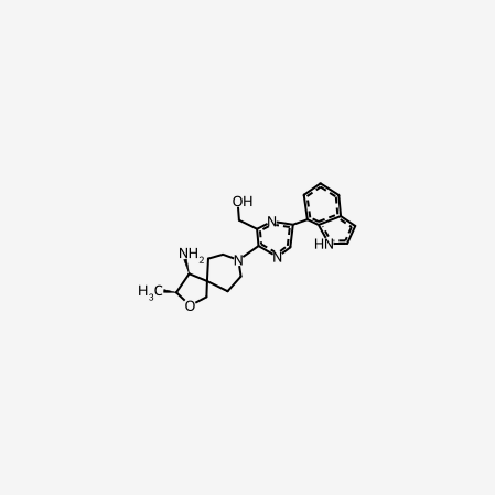 C[C@@H]1OCC2(CCN(c3ncc(-c4cccc5cc[nH]c45)nc3CO)CC2)[C@@H]1N